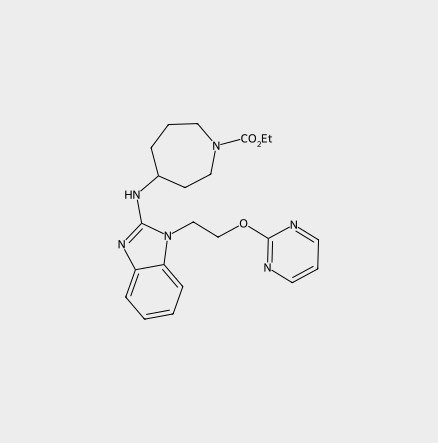 CCOC(=O)N1CCCC(Nc2nc3ccccc3n2CCOc2ncccn2)CC1